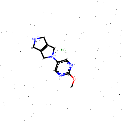 COc1ncc(N2CC3=C(CNC3)C2)cn1.Cl